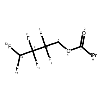 CC(C)C(=O)OCC(F)(F)C(F)(F)C(F)F